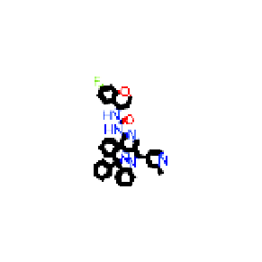 Cc1cc(-c2nn(C(c3ccccc3)(c3ccccc3)c3ccccc3)c3cc(NC(=O)NC4CCOc5cc(F)ccc54)ncc23)ccn1